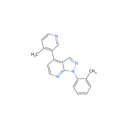 Cc1ccncc1-c1ccnc2c1cnn2-c1ccccc1C